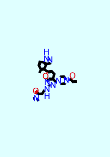 C=CC(=O)N1CCN(c2nc(NCCC(=O)N(C)C)nc3c2CC=C(c2c(C)ccc4[nH]ncc24)O3)CC1